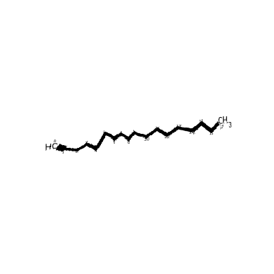 C#CCCCCCCCCCCCCCC[CH]C